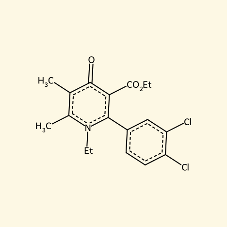 CCOC(=O)c1c(-c2ccc(Cl)c(Cl)c2)n(CC)c(C)c(C)c1=O